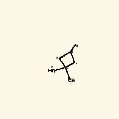 CC1CC(O)(O)C1